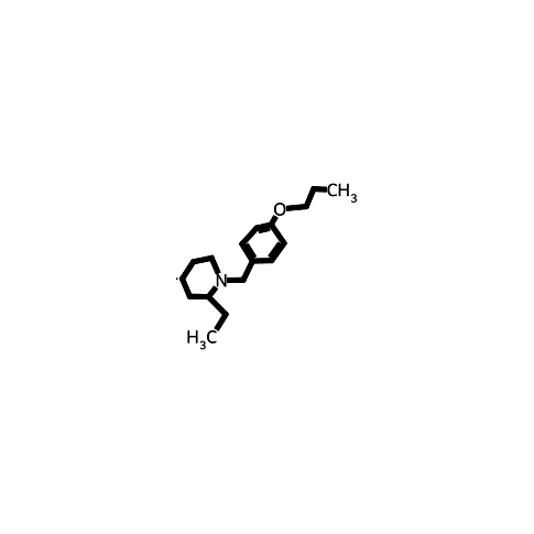 CCCOc1ccc(CN2CC[CH]CC2CC)cc1